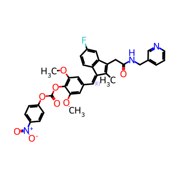 COc1cc(/C=C2/C(C)=C(CC(=O)NCc3cccnc3)c3cc(F)ccc32)cc(OC)c1OC(=O)Oc1ccc([N+](=O)[O-])cc1